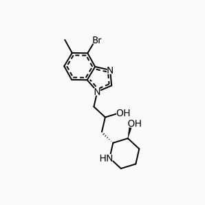 Cc1ccc2c(ncn2CC(O)C[C@H]2NCCC[C@@H]2O)c1Br